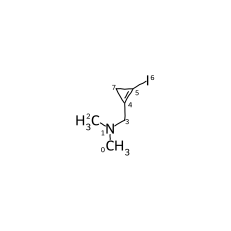 CN(C)CC1=C(I)C1